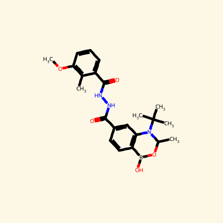 COc1cccc(C(=O)NNC(=O)c2ccc3c(c2)N(C(C)(C)C)C(C)OB3O)c1C